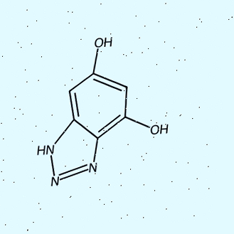 Oc1cc(O)c2nn[nH]c2c1